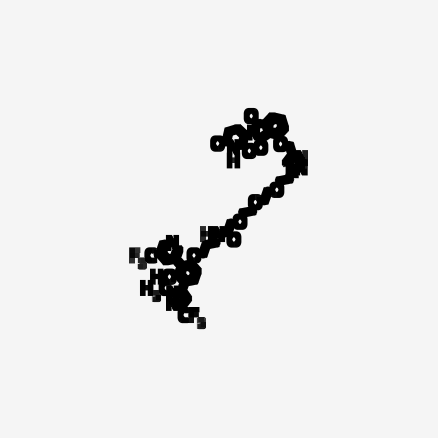 Cn1nc(C(F)(F)F)cc1-c1ccc(OCCCNC(=O)COCCOCCOCCn2cc(COc3cccc4c3C(=O)N(C3CCC(=O)NC3=O)C4=O)nn2)c(-c2cncc(C(F)(F)F)c2)c1O